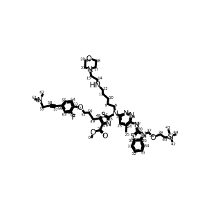 COC(=O)c1nc(N(CCCCCNCCN2CCOCC2)c2cc(C)c(/N=c3\sc4ccccc4n3COCC[Si](C)(C)C)nn2)sc1CCCOc1ccc(C#CCN(C)C)cc1F